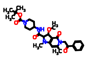 COC1c2c(cc(C)n(CC(=O)c3ccccc3)c2=O)N(C)C1C(=O)NC1CCN(C(=O)OC(C)(C)C)CC1